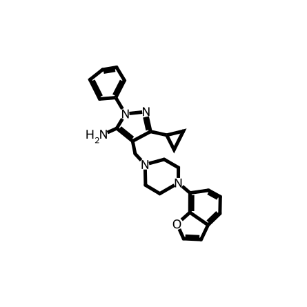 Nc1c(CN2CCN(c3cccc4ccoc34)CC2)c(C2CC2)nn1-c1ccccc1